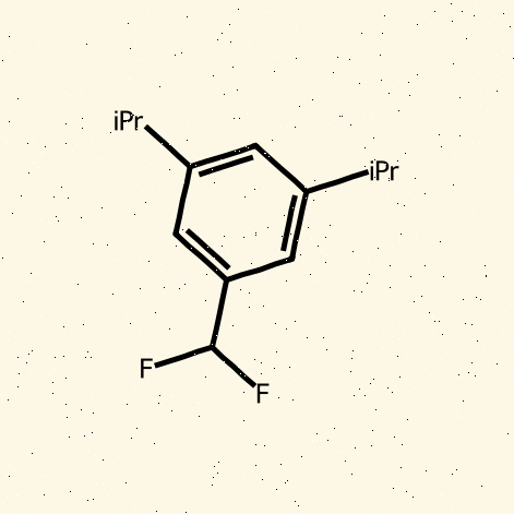 CC(C)c1cc(C(C)C)cc(C(F)F)c1